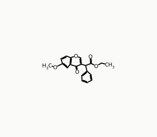 CCOC(=O)C(c1ccccc1)c1coc2ccc(OC)cc2c1=O